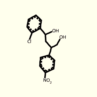 O=[N+]([O-])c1ccc(C(CO)CC(O)c2ccccc2Cl)cc1